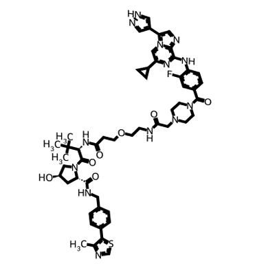 Cc1ncsc1-c1ccc(CNC(=O)[C@@H]2C[C@@H](O)CN2C(=O)[C@@H](NC(=O)CCOCCNC(=O)CN2CCN(C(=O)c3ccc(Nc4nc(C5CC5)cn5c(-c6cn[nH]c6)cnc45)c(F)c3)CC2)C(C)(C)C)cc1